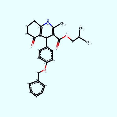 CC1=C(C(=O)OCC(C)C)C(c2ccc(OCc3ccccc3)cc2)C2=C(CCCC2=O)N1